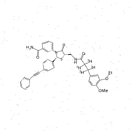 [2H]C([2H])(C(=O)NC[C@H]1S[C@@H](c2ccc(C#Cc3ccccc3)cc2)N(c2cccc(C(N)=O)c2)C1=O)C([2H])([2H])c1ccc(OC)c(OCC)c1